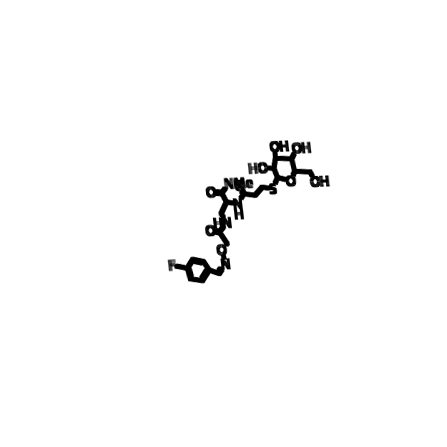 CNC(=O)C(CNC(=O)CO/N=C\c1ccc(F)cc1)NC(=O)CCSC1OC(CO)C(O)C(O)C1O